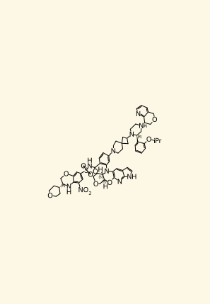 CC(C)Oc1ccccc1[C@@H]1CN([C@H]2COCc3cccnc32)CCN1C1CC2(CCN(c3ccc(C(=O)NS(=O)(=O)c4cc5c(c([N+](=O)[O-])c4)N[C@H](C4CCOCC4)CO5)c(N4c5cc6cc[nH]c6nc5O[C@H]5COCC[C@@H]54)c3)CC2)C1